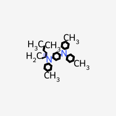 C=C/C(=C\C=C(C)C)N(c1ccc(C)cc1)c1ccc(N(c2ccc(C)cc2)c2ccc(C)cc2)cc1